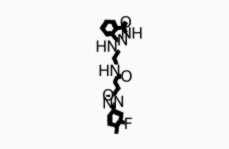 Cc1ccc(-c2noc(CCC(=O)NCCCNc3n[nH]c(=O)c4ccccc34)n2)cc1F